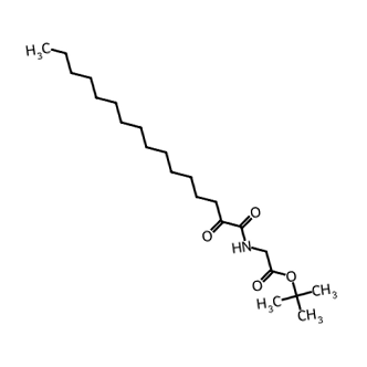 CCCCCCCCCCCCCCC(=O)C(=O)NCC(=O)OC(C)(C)C